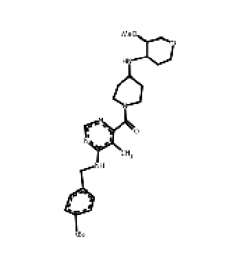 COC1COCCC1NC1CCN(C(=O)c2ncnc(NCc3ccc(C(C)(C)C)cc3)c2C)CC1